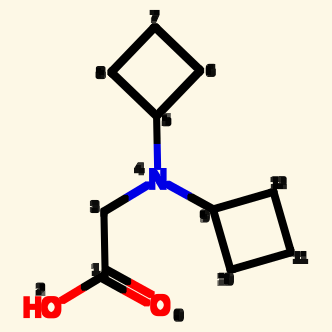 O=C(O)CN(C1CCC1)C1CCC1